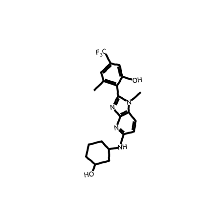 Cc1cc(C(F)(F)F)cc(O)c1-c1nc2nc(NC3CCCC(O)C3)ccc2n1C